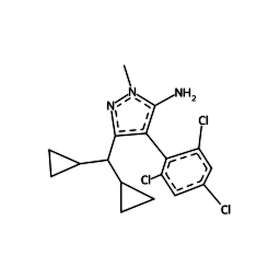 Cn1nc(C(C2CC2)C2CC2)c(-c2c(Cl)cc(Cl)cc2Cl)c1N